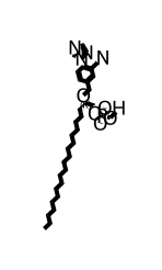 CCCCCCCCCCCCCCCCCCC[C@H](COP(=O)(O)OC)OCc1ccc(-n2cncn2)c(C#N)c1